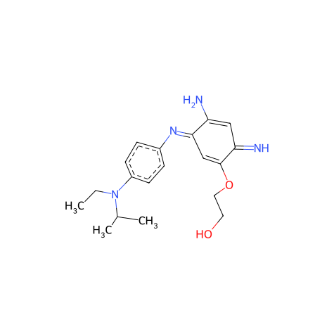 CCN(c1ccc(N=C2C=C(OCCO)C(=N)C=C2N)cc1)C(C)C